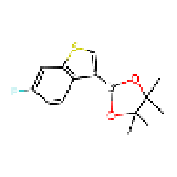 CC1(C)OB(c2csc3cc(F)ccc23)OC1(C)C